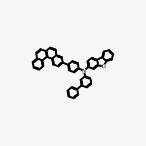 c1ccc(-c2cccc(N(c3ccc(-c4ccc5c(ccc6ccc7ccccc7c65)c4)cc3)c3ccc4c(c3)oc3ccccc34)c2)cc1